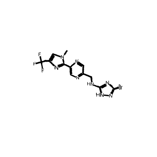 Cn1cc(C(F)(F)F)nc1-c1cnc(CNc2nc(Br)n[nH]2)cn1